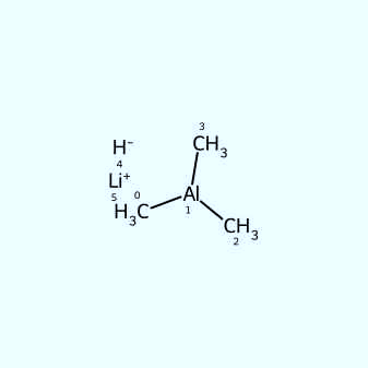 [CH3][Al]([CH3])[CH3].[H-].[Li+]